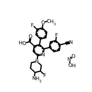 COc1ccc(-c2c(C(=O)O)cc(N3CCC(N)C(F)C3)nc2-c2ccc(C#N)c(F)c2)cc1F.O=NO